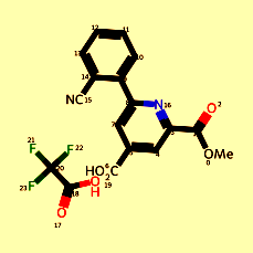 COC(=O)c1cc(C(=O)O)cc(-c2ccccc2C#N)n1.O=C(O)C(F)(F)F